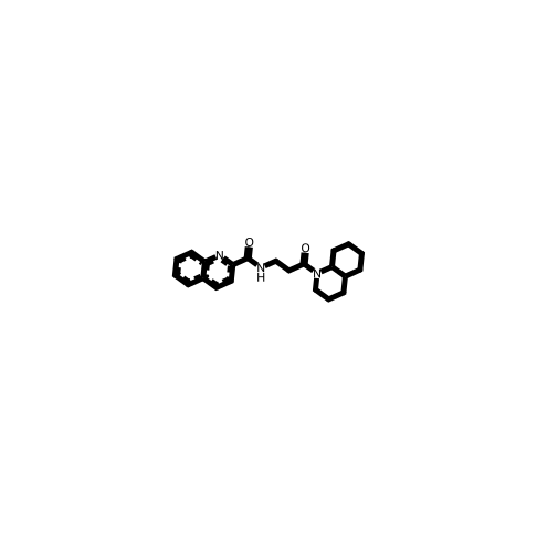 O=C(NCCC(=O)N1CCCC2CCCCC21)c1ccc2ccccc2n1